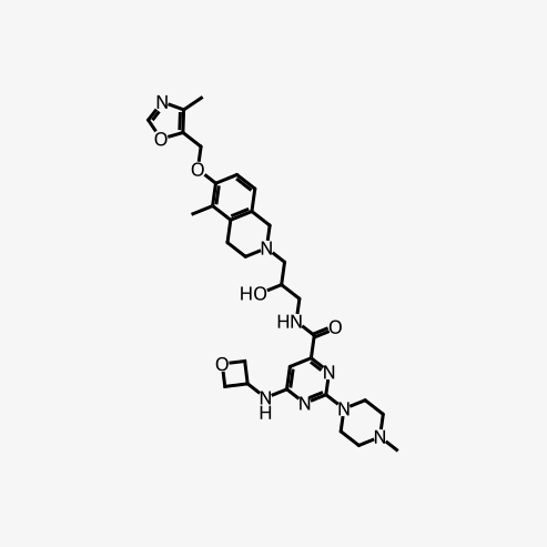 Cc1ncoc1COc1ccc2c(c1C)CCN(CC(O)CNC(=O)c1cc(NC3COC3)nc(N3CCN(C)CC3)n1)C2